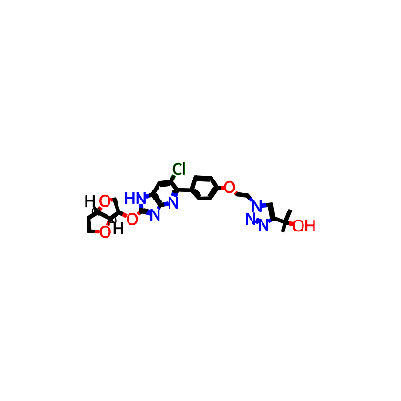 CC(C)(O)c1cn(CCOc2ccc(-c3nc4nc(OC5CO[C@@H]6CCO[C@H]56)[nH]c4cc3Cl)cc2)nn1